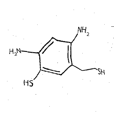 Nc1cc(N)c(S)cc1S